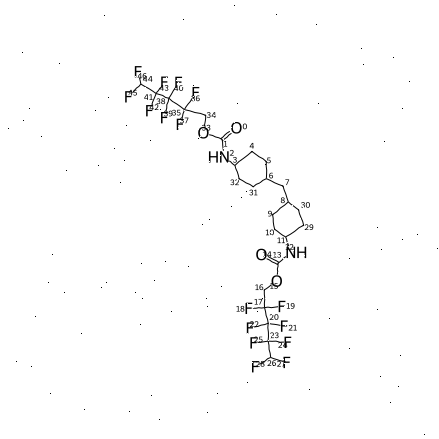 O=C(NC1CCC(CC2CCC(NC(=O)OCC(F)(F)C(F)(F)C(F)(F)C(F)F)CC2)CC1)OCC(F)(F)C(F)(F)C(F)(F)C(F)F